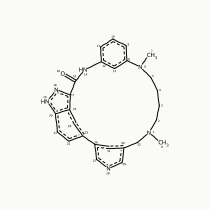 CN1CCCCN(C)c2cccc(c2)NC(=O)c2n[nH]c3ccc(cc23)-c2cncc(c2)C1